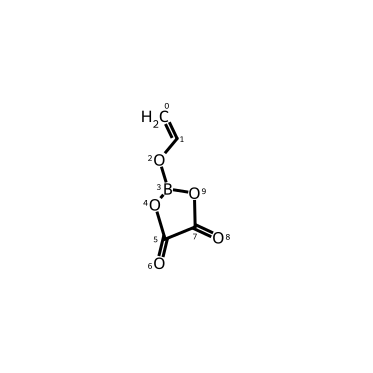 C=COB1OC(=O)C(=O)O1